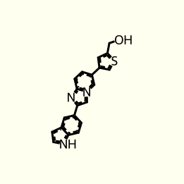 OCc1cc(-c2ccc3nc(-c4ccc5[nH]ccc5c4)cn3c2)cs1